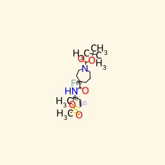 C[C@H](/C=C\S(C)(=O)=O)NC(=O)[C@@]1(F)CCCN(C(=O)OC(C)(C)C)CC1